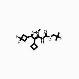 Cn1nc(C2CC(F)(F)C2)c(C2CCC2)c1NC(=O)NCC(C)(C)F